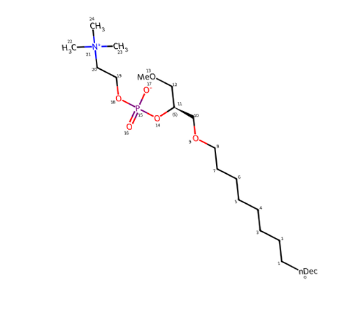 CCCCCCCCCCCCCCCCCCOC[C@H](COC)OP(=O)([O-])OCC[N+](C)(C)C